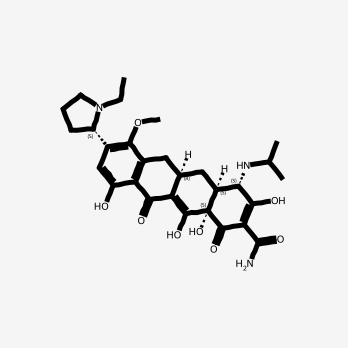 CCN1CCC[C@H]1c1cc(O)c2c(c1OC)C[C@H]1C[C@H]3[C@H](NC(C)C)C(O)=C(C(N)=O)C(=O)[C@@]3(O)C(O)=C1C2=O